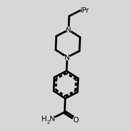 CC(C)CN1CCN(c2ccc(C(N)=O)cc2)CC1